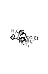 CCOC(=O)N(Cc1ccc(C)nc1)c1cc(OC[C@H]2CCCO2)nc(N)c1N